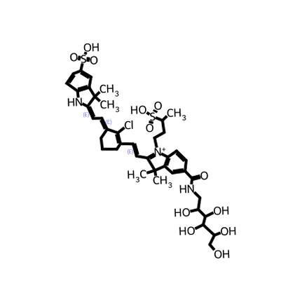 CC(CC[N+]1=C(/C=C/C2=C(Cl)C(=C/C=C3/Nc4ccc(S(=O)(=O)O)cc4C3(C)C)/CCC2)C(C)(C)c2cc(C(=O)NCC(O)C(O)C(O)C(O)CO)ccc21)S(=O)(=O)O